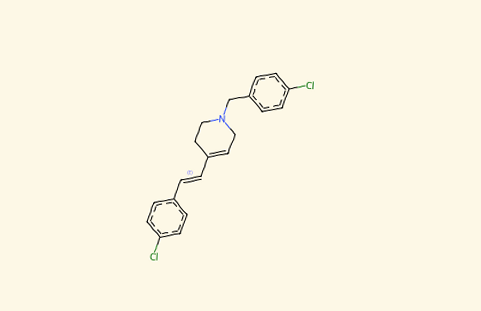 Clc1ccc(/C=C/C2=CCN(Cc3ccc(Cl)cc3)CC2)cc1